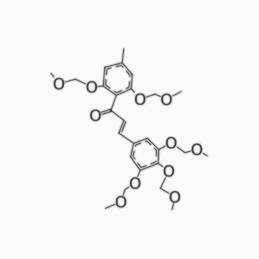 COCOc1cc(/C=C/C(=O)c2c(OCOC)cc(C)cc2OCOC)cc(OCOC)c1OCOC